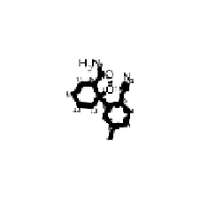 COC1(c2cc(C)ccc2C#N)C=CC=CC1C(N)=O